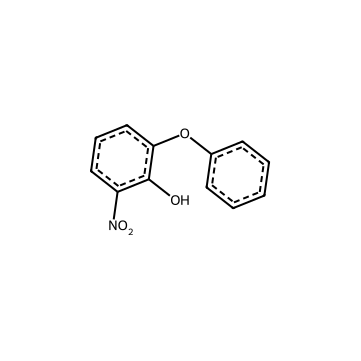 O=[N+]([O-])c1cccc(Oc2ccccc2)c1O